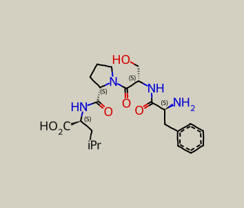 CC(C)C[C@H](NC(=O)[C@@H]1CCCN1C(=O)[C@H](CO)NC(=O)[C@@H](N)Cc1ccccc1)C(=O)O